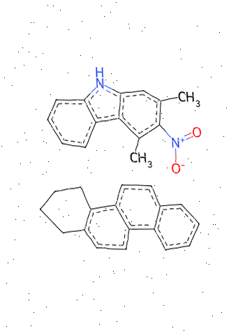 Cc1cc2[nH]c3ccccc3c2c(C)c1[N+](=O)[O-].c1ccc2c(c1)ccc1c3c(ccc12)CCCC3